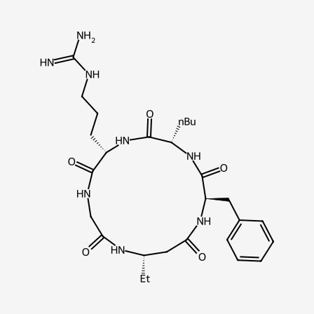 CCCC[C@@H]1NC(=O)[C@@H](Cc2ccccc2)NC(=O)C[C@H](CC)NC(=O)CNC(=O)[C@H](CCCNC(=N)N)NC1=O